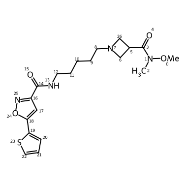 CON(C)C(=O)C1CN(CCCCCNC(=O)c2cc(-c3cccs3)on2)C1